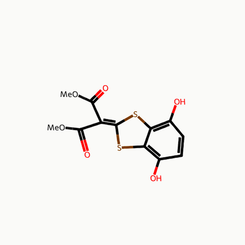 COC(=O)C(C(=O)OC)=C1Sc2c(O)ccc(O)c2S1